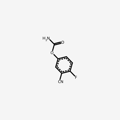 N#Cc1cc(OC(N)=O)ccc1F